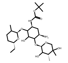 CC[C@@H]1CCC(C)[C@@H](OC2C(O)C(O[C@H]3OCC(C)(O)[C@H](C)C3O)[C@H](N)C[C@@H]2NC(=O)OC(C)(C)C)O1